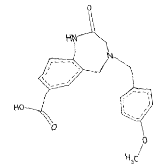 COc1ccc(CN2CC(=O)Nc3ccc(C(=O)O)cc3C2)cc1